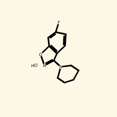 Cl.Fc1ccc2c(N3CCCCC3)noc2c1